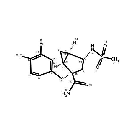 CS(=O)(=O)N[C@@H]1C[C@@](Cc2ccc(F)c(Br)c2)(C(N)=O)[C@H]2C[C@@H]12